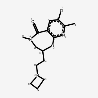 Cc1nc2c(cc1Cl)C(=O)N(C)CC(CCN1CCC1)O2